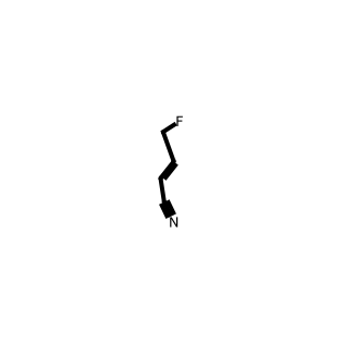 N#C/C=C/CF